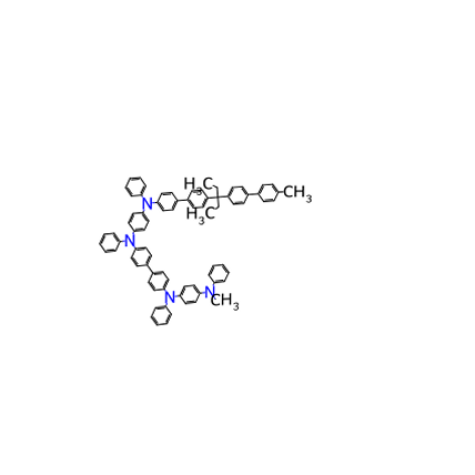 CCC(CC)(c1ccc(-c2ccc(C)cc2)cc1)c1ccc(-c2ccc(N(c3ccccc3)c3ccc(N(c4ccccc4)c4ccc(-c5ccc(N(c6ccccc6)c6ccc(N(C)c7ccccc7)cc6)cc5)cc4)cc3)cc2)cc1